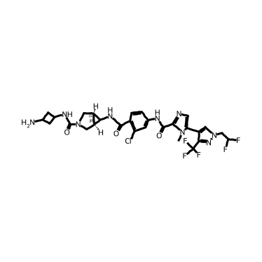 Cn1c(-c2cn(CC(F)F)nc2C(F)(F)F)cnc1C(=O)Nc1ccc(C(=O)NC2[C@H]3CN(C(=O)NC4CC(N)C4)C[C@@H]23)c(Cl)c1